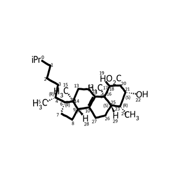 CC(C)CCC[C@@H](C)[C@H]1CC[C@H]2C3=C(CC[C@]12C)[C@@]1(C)C(C(=O)O)C[C@H](O)[C@H](C)[C@@H]1CC3